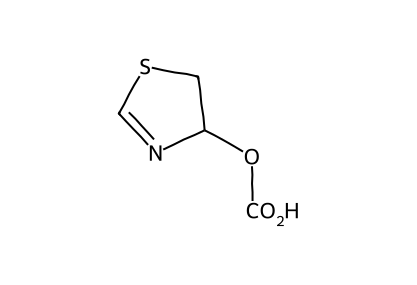 O=C(O)OC1CSC=N1